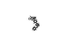 CC(C=O)NS(=O)(=O)c1ccc(-c2nnn(Cc3ccncc3)n2)cc1